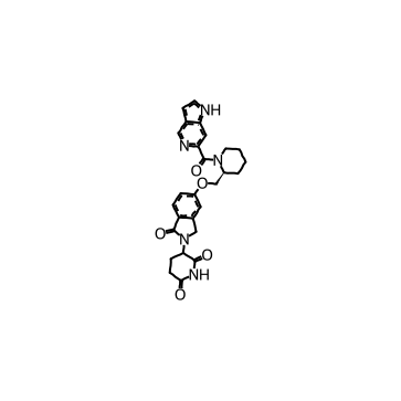 O=C1CCC(N2Cc3cc(OC[C@@H]4CCCCN4C(=O)c4cc5[nH]ccc5cn4)ccc3C2=O)C(=O)N1